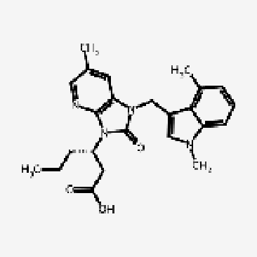 CCC[C@@H](CC(=O)O)n1c(=O)n(Cc2cn(C)c3cccc(C)c23)c2cc(C)cnc21